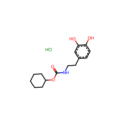 Cl.O=C(NCCc1ccc(O)c(O)c1)OC1CCCCC1